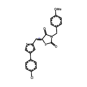 COc1ccc(CN2C(=O)S/C(=C\c3cc(-c4ccc(Cl)cc4)cs3)C2=O)cc1